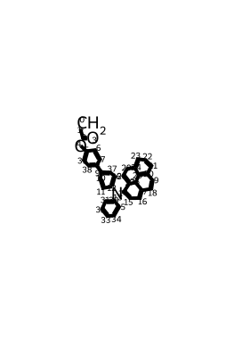 C=CC(=O)Oc1ccc(-c2ccc(N(C3=CC=C4C=Cc5cccc6c5C4C3=CC6)c3ccccc3)cc2)cc1